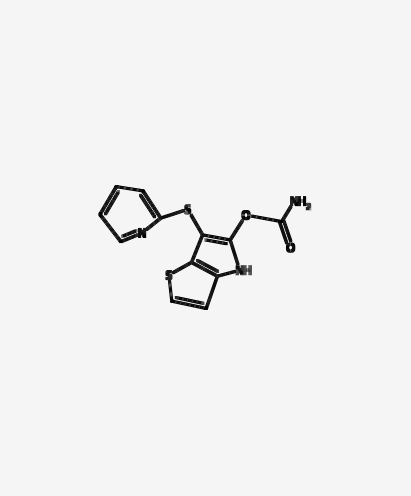 NC(=O)Oc1[nH]c2ccsc2c1Sc1ccccn1